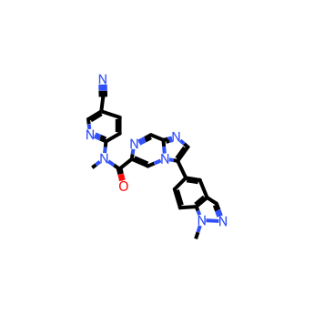 CN(C(=O)c1cn2c(-c3ccc4c(cnn4C)c3)cnc2cn1)c1ccc(C#N)cn1